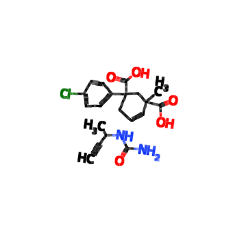 C#CC(C)NC(N)=O.CC1(C(=O)O)C=CCC(C(=O)O)(c2ccc(Cl)cc2)C1